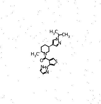 CC(C)n1cc([C@@H]2CC[C@@H](C)N(C(=O)c3cscc3-n3nccn3)C2)cn1